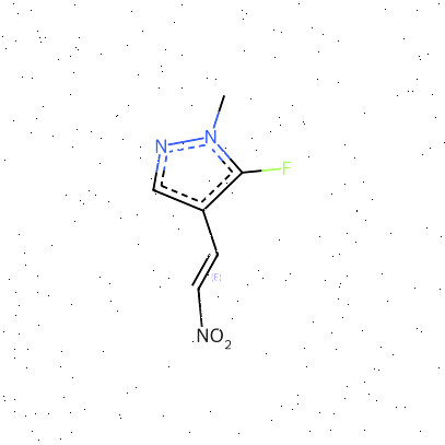 Cn1ncc(/C=C/[N+](=O)[O-])c1F